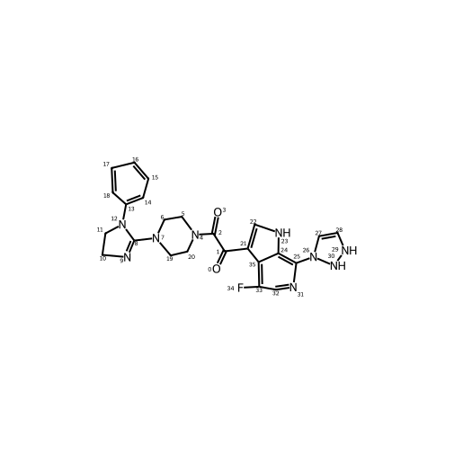 O=C(C(=O)N1CCN(C2=NCCN2c2ccccc2)CC1)c1c[nH]c2c(N3C=CNN3)ncc(F)c12